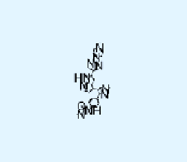 CN1CCN(c2ncc(-c3cc4c([nH]3)=NCCC=4c3cn(C)nc3-c3ccc(NC(=O)N(C)C)cc3)cn2)CC1